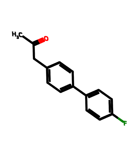 CC(=O)Cc1ccc(-c2ccc(F)cc2)cc1